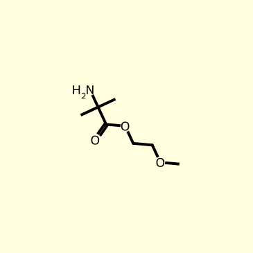 COCCOC(=O)C(C)(C)N